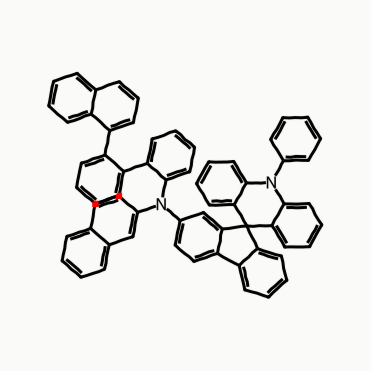 c1ccc(N2c3ccccc3C3(c4ccccc4-c4ccc(N(c5ccc6ccccc6c5)c5ccccc5-c5ccccc5-c5cccc6ccccc56)cc43)c3ccccc32)cc1